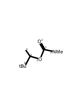 CNC(=O)OC(C)C(C)(C)C